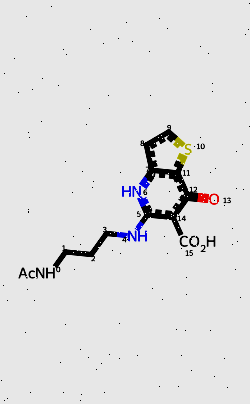 CC(=O)NCCCNc1[nH]c2ccsc2c(=O)c1C(=O)O